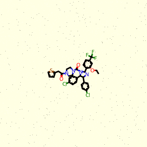 CCOc1cc(C(F)(F)F)ccc1C1=NC(c2ccc(Cl)cc2)C(c2ccc(Cl)cc2)N1C(=O)N1CCN(C(=O)Cc2cccs2)CC1